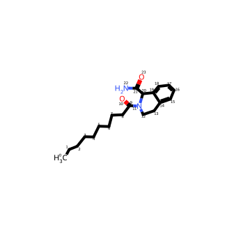 CCCCCCCCCC(=O)N1CCc2c[c]ccc2C1C(N)=O